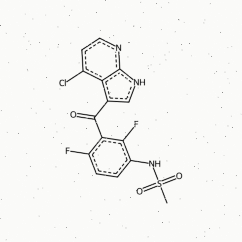 CS(=O)(=O)Nc1ccc(F)c(C(=O)c2c[nH]c3nccc(Cl)c23)c1F